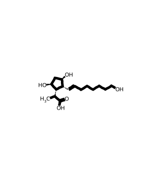 CC(C(=O)O)[C@H]1[C@@H](C=CCCCCCCO)[C@H](O)C[C@@H]1O